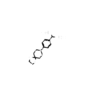 O=CC(C=O)c1ccc(C2CCC3(CC2)OCCO3)cc1